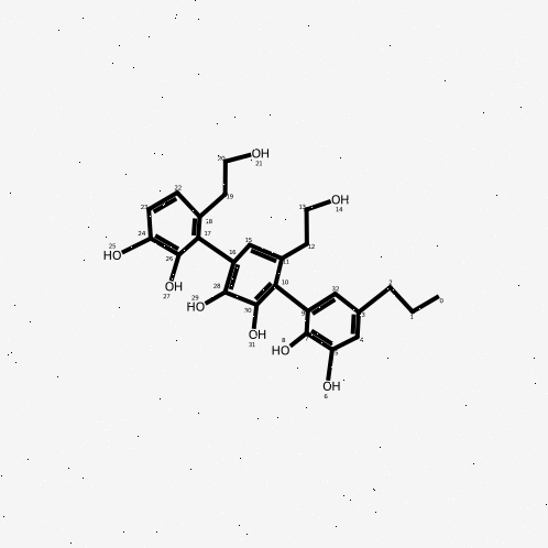 CCCc1cc(O)c(O)c(-c2c(CCO)cc(-c3c(CCO)ccc(O)c3O)c(O)c2O)c1